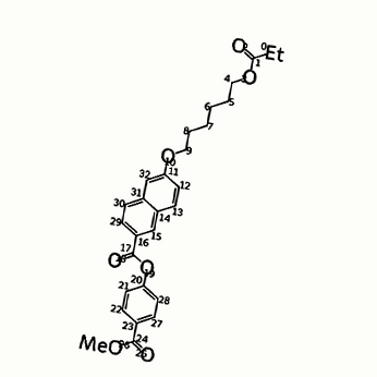 CCC(=O)OCCCCCCOc1ccc2cc(C(=O)Oc3ccc(C(=O)OC)cc3)ccc2c1